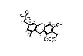 CCOC(=O)Cc1cc(Cc2c(C)cc(CP(C)(C)=O)cc2C)ccc1O